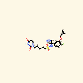 O=C1CCN(CCCCCS(=O)(=O)NC2(c3ccc(F)c(OCC4CC4)c3)CNC2)C(=O)N1